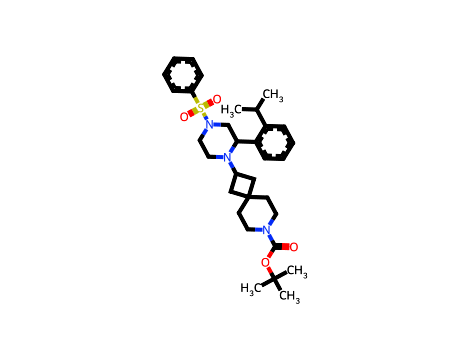 CC(C)c1ccccc1C1CN(S(=O)(=O)c2ccccc2)CCN1C1CC2(CCN(C(=O)OC(C)(C)C)CC2)C1